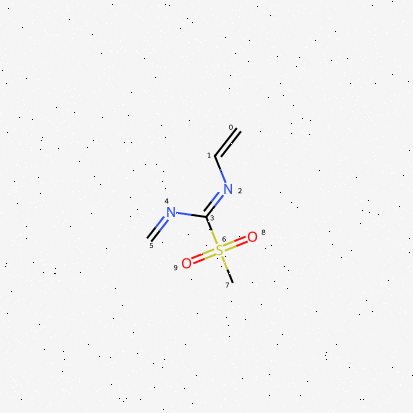 C=C/N=C(\N=C)S(C)(=O)=O